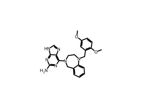 COc1ccc(OC)c(CN2CCN(c3nc(N)nc4[nH]cnc34)Cc3ccccc32)c1